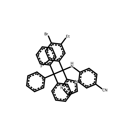 CCc1cc(C(Nc2ccc(C#N)cc2)(c2ncc[nH]2)C(c2ccccc2)(c2ccccc2)c2ccccc2)c(F)cc1Br